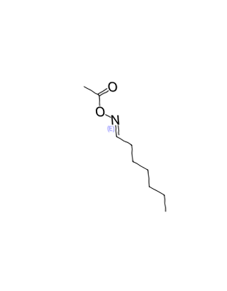 CCCCCC/C=N/OC(C)=O